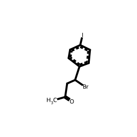 CC(=O)CC(Br)c1ccc(I)cc1